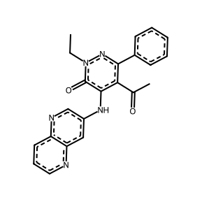 CCn1nc(-c2ccccc2)c(C(C)=O)c(Nc2cnc3cccnc3c2)c1=O